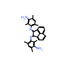 Cc1cc(C)c(N=C2C(=Nc3c(C)cc(C)c(N)c3C)c3cccc4cccc2c34)c(C)c1N